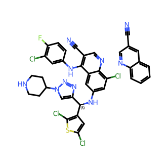 N#Cc1cnc2c(Cl)cc(N[C@H](c3cn(C4CCNCC4)nn3)c3cc(Cl)sc3Cl)cc2c1Nc1ccc(F)c(Cl)c1.N#Cc1cnc2ccccc2c1